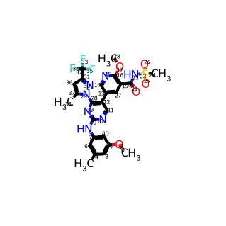 COc1cc(C)cc(Nc2ncc(-c3cnc(OC)c(C(=O)NS(C)(=O)=O)c3)c(-n3nc(C(F)(F)F)cc3C)n2)c1